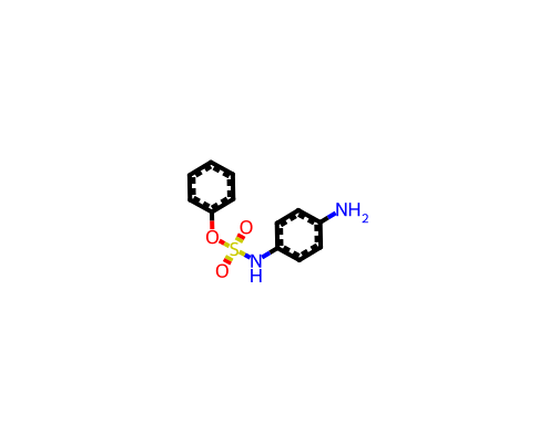 Nc1ccc(NS(=O)(=O)Oc2ccccc2)cc1